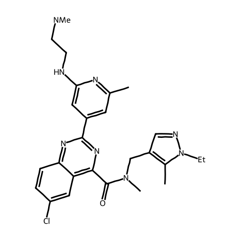 CCn1ncc(CN(C)C(=O)c2nc(-c3cc(C)nc(NCCNC)c3)nc3ccc(Cl)cc23)c1C